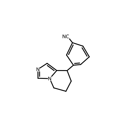 N#Cc1cccc(C2CCCn3cncc32)c1